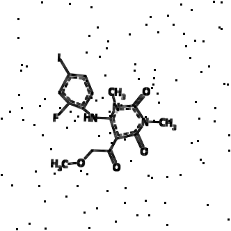 COCC(=O)c1c(Nc2ccc(I)cc2F)n(C)c(=O)n(C)c1=O